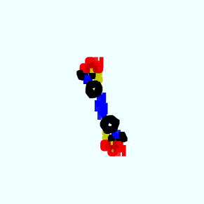 CCN1c2ccc(N=NN=Nc3ccc4c(c3)SC(S(=O)(=O)O)N4CC)cc2SC1S(=O)(=O)O